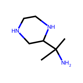 CC(C)(N)C1CNCCN1